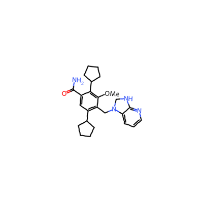 COc1c(CN2CNc3ncccc32)c(C2CCCC2)cc(C(N)=O)c1C1CCCC1